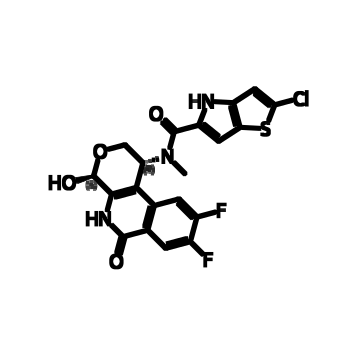 CN(C(=O)c1cc2sc(Cl)cc2[nH]1)[C@H]1CO[C@H](O)c2[nH]c(=O)c3cc(F)c(F)cc3c21